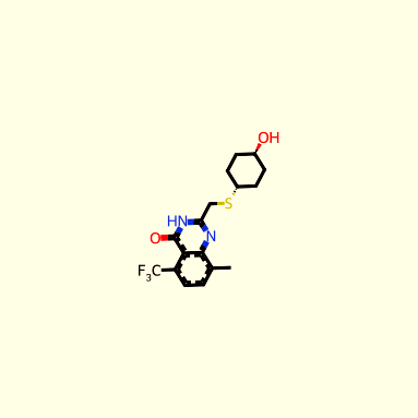 Cc1ccc(C(F)(F)F)c2c(=O)[nH]c(CS[C@H]3CC[C@H](O)CC3)nc12